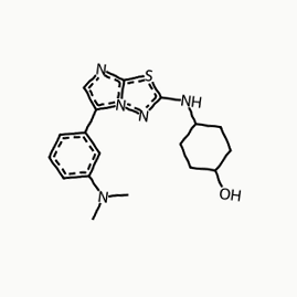 CN(C)c1cccc(-c2cnc3sc(NC4CCC(O)CC4)nn23)c1